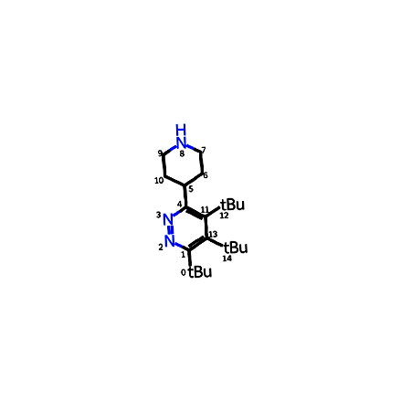 CC(C)(C)c1nnc(C2CCNCC2)c(C(C)(C)C)c1C(C)(C)C